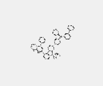 CC1(C)c2cc(-c3ccc4c(c3)c3ccccc3n4-c3cccc(-c4ccccc4)c3)ccc2-c2c(-c3cc(-c4ccccc4)c4cccnc4n3)cccc21